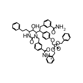 NC(=O)c1cccc(CC(c2ccc(OCP(=O)(OCc3ccccc3)OCc3ccccc3)cc2)C2C(O)C(CCc3ccccc3)NC(=O)N2Cc2cccc(C(N)=O)c2)c1